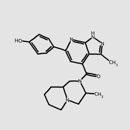 Cc1n[nH]c2nc(-c3ccc(O)cc3)cc(C(=O)N3CC4CCCCN4CC3C)c12